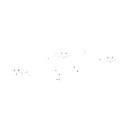 COCC(=O)/N=C(/NC(=O)COC)SC